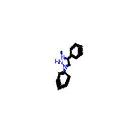 CN1NN(c2ccccc2)CC1c1ccccc1